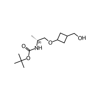 C[C@H](COC1CC(CO)C1)NC(=O)OC(C)(C)C